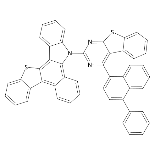 c1ccc(-c2ccc(-c3nc(-n4c5ccccc5c5c6sc7ccccc7c6c6ccccc6c54)nc4sc5ccccc5c34)c3ccccc23)cc1